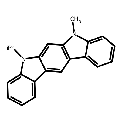 CC(C)n1c2ccccc2c2cc3c4ccccc4n(C)c3cc21